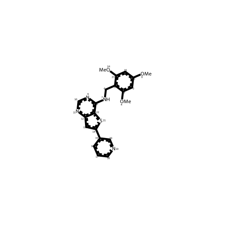 COc1cc(OC)c(CNc2ncnc3cc(-c4cccnc4)sc23)c(OC)c1